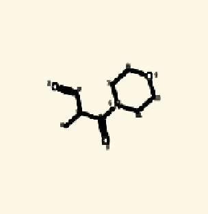 CC(C=O)C(=O)N1CCOCC1